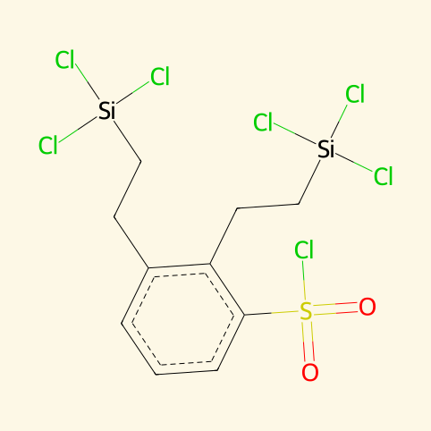 O=S(=O)(Cl)c1cccc(CC[Si](Cl)(Cl)Cl)c1CC[Si](Cl)(Cl)Cl